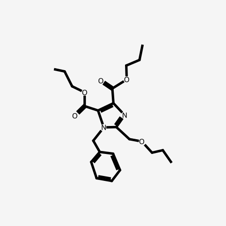 CCCOCc1nc(C(=O)OCCC)c(C(=O)OCCC)n1Cc1ccccc1